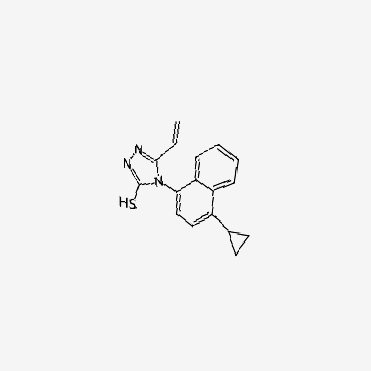 C=Cc1nnc(S)n1-c1ccc(C2CC2)c2ccccc12